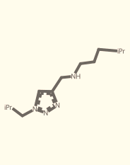 CC(C)CCCNCc1cn(CC(C)C)nn1